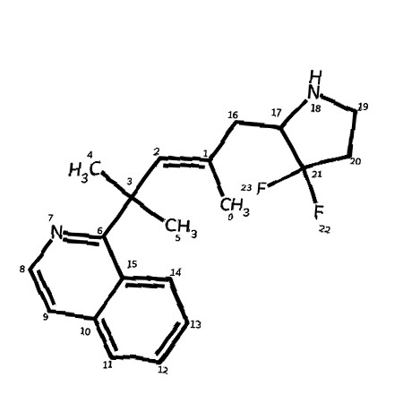 C/C(=C\C(C)(C)c1nccc2ccccc12)CC1NCCC1(F)F